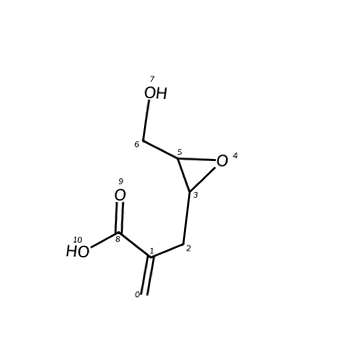 C=C(CC1OC1CO)C(=O)O